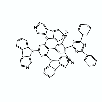 N#Cc1cc(-c2c(-n3c4ccccc4c4ccncc43)cc(-n3c4ccccc4c4ccncc43)cc2-n2c3ccccc3c3ccncc32)cc(C#N)c1-c1nc(-c2ccccc2)nc(-c2ccccc2)n1